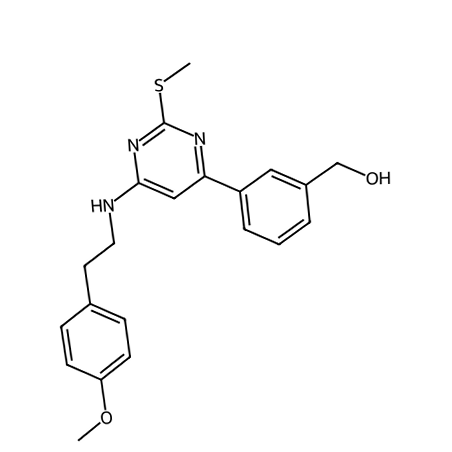 COc1ccc(CCNc2cc(-c3cccc(CO)c3)nc(SC)n2)cc1